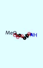 COC(=O)C[C@@H]1COc2cc(OCc3cccc(-c4c(C)cc(OC5CNC5)cc4C)c3)ccc21